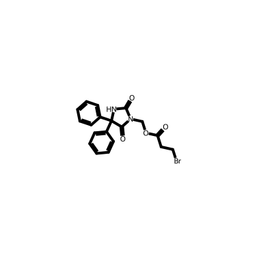 O=C(CCBr)OCN1C(=O)NC(c2ccccc2)(c2ccccc2)C1=O